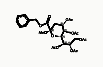 CO[C@]1(C(=O)OCc2ccccc2)C[C@H](OC(C)=O)[C@@H](OC(C)=O)[C@H]([C@H](OC(C)=O)[C@H](COC(C)=O)OC(C)=O)O1